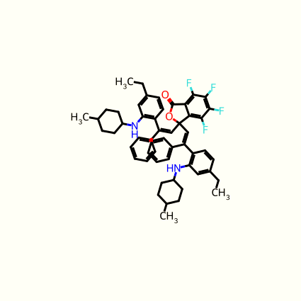 CCc1ccc(C(=CC2(C=C(c3ccccc3)c3ccc(CC)cc3NC3CCC(C)CC3)OC(=O)c3c(F)c(F)c(F)c(F)c32)c2ccccc2)c(NC2CCC(C)CC2)c1